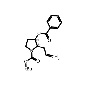 C=CC[C@@H]1[C@H](OC(=O)c2ccccc2)CCN1C(=O)OC(C)(C)C